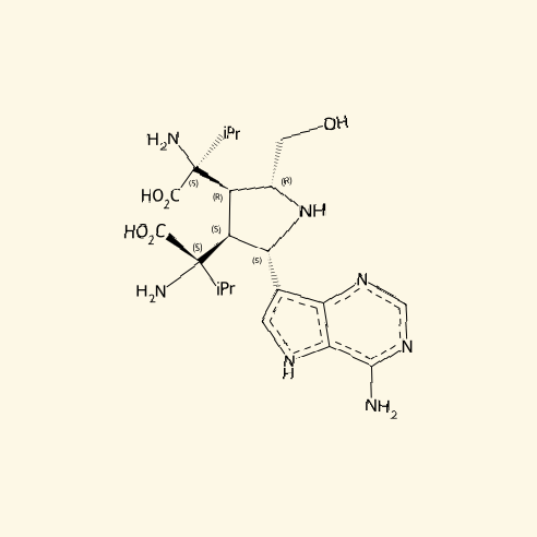 CC(C)[C@@](N)(C(=O)O)[C@@H]1[C@H]([C@](N)(C(=O)O)C(C)C)[C@@H](c2c[nH]c3c(N)ncnc23)N[C@H]1CO